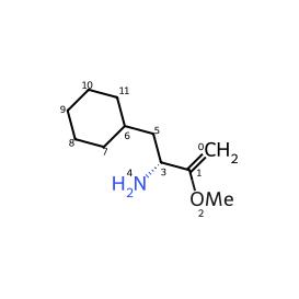 C=C(OC)[C@H](N)CC1CCCCC1